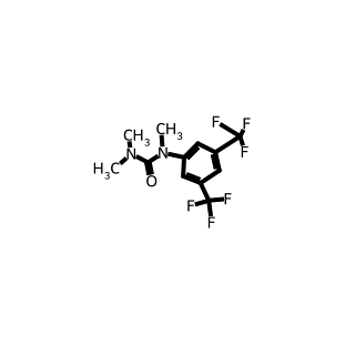 CN(C)C(=O)N(C)c1cc(C(F)(F)F)cc(C(F)(F)F)c1